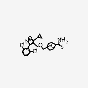 NC(=S)C12CCC(COCc3c(-c4c(Cl)cccc4Cl)noc3C3CC3)(CC1)CC2